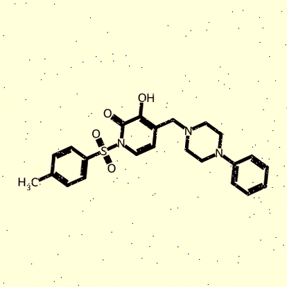 Cc1ccc(S(=O)(=O)n2ccc(CN3CCN(c4ccccc4)CC3)c(O)c2=O)cc1